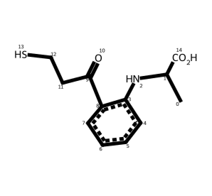 CC(Nc1ccccc1C(=O)CCS)C(=O)O